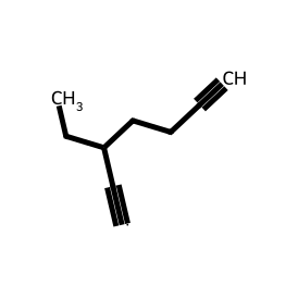 [C]#CC(CC)CCC#C